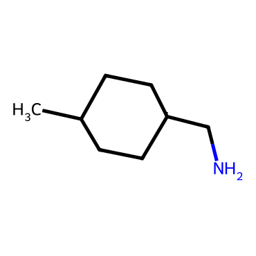 CC1CC[C](CN)CC1